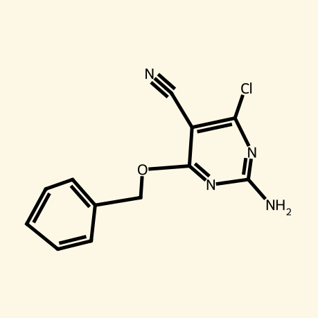 N#Cc1c(Cl)nc(N)nc1OCc1ccccc1